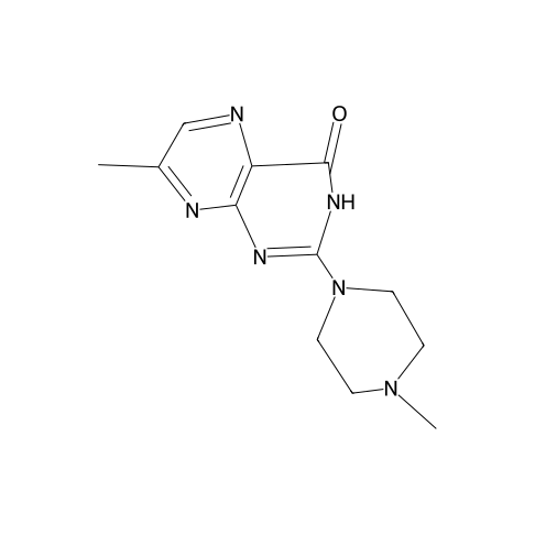 Cc1cnc2c(=O)[nH]c(N3CCN(C)CC3)nc2n1